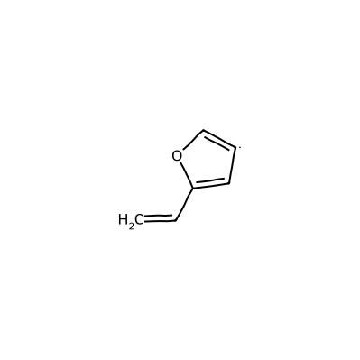 C=Cc1c[c]co1